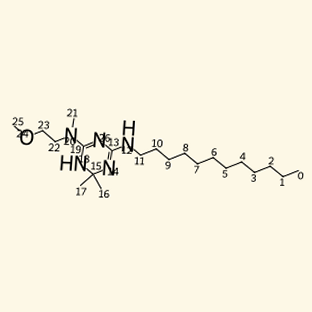 CCCCCCCCCCCCNC1=NC(C)(C)NC(N(C)CCOC)=N1